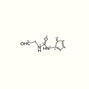 O=[C]CNC(=O)Nc1cccs1